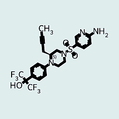 CC#CC[C@H]1CN(S(=O)(=O)c2ccc(N)nc2)CCN1c1ccc(C(O)(C(F)(F)F)C(F)(F)F)cc1